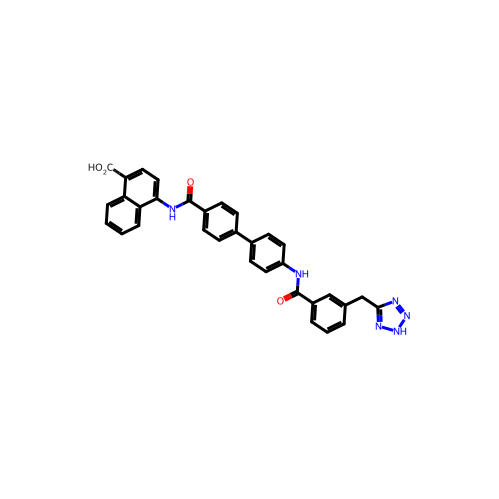 O=C(Nc1ccc(-c2ccc(C(=O)Nc3ccc(C(=O)O)c4ccccc34)cc2)cc1)c1cccc(Cc2nn[nH]n2)c1